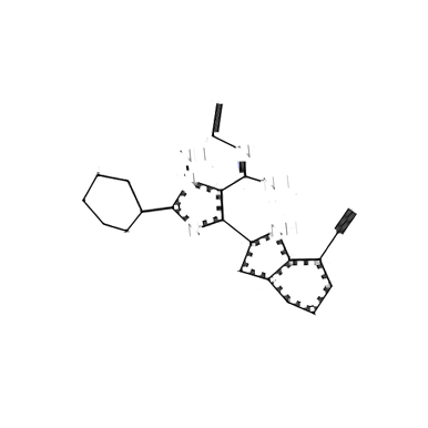 C#Cc1cccc2cc(-c3nc(C4CCCCC4)n(N)c3/C(N)=N\C=C)[nH]c12